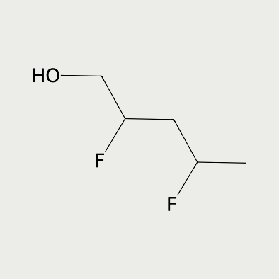 CC(F)CC(F)CO